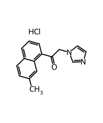 Cc1ccc2cccc(C(=O)Cn3ccnc3)c2c1.Cl